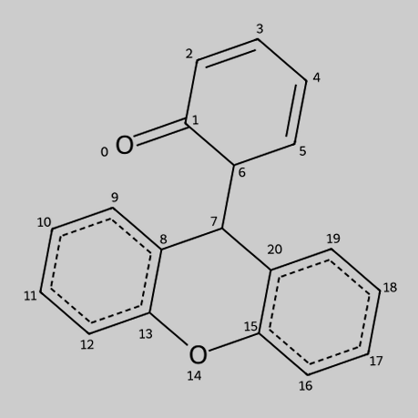 O=C1C=CC=CC1C1c2ccccc2Oc2ccccc21